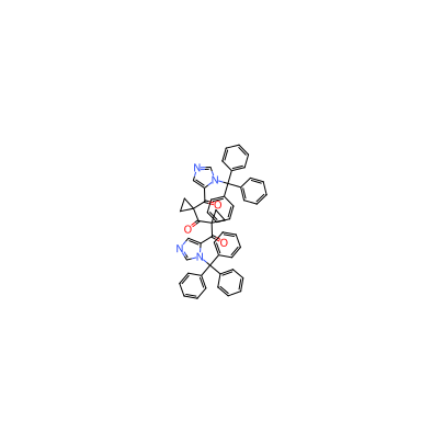 O=C(c1cncn1C(c1ccccc1)(c1ccccc1)c1ccccc1)C1(C(=O)C2(C(=O)c3cncn3C(c3ccccc3)(c3ccccc3)c3ccccc3)CC2)CC1